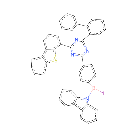 IB(c1ccc(-c2nc(-c3ccccc3-c3ccccc3)nc(-c3cccc4c3sc3ccccc34)n2)cc1)n1c2ccccc2c2ccccc21